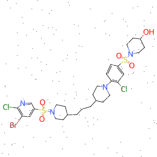 O=S(=O)(c1ccc(N2CCC(CCCC3CCN(S(=O)(=O)c4cnc(Cl)c(Br)c4)CC3)CC2)c(Cl)c1)N1CCC(O)CC1